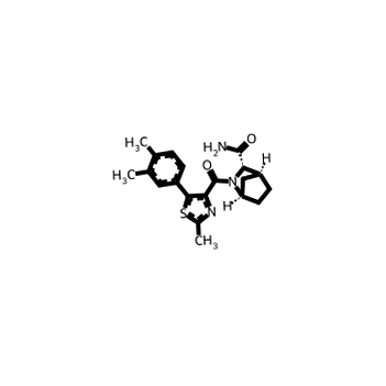 Cc1nc(C(=O)N2[C@@H]3CC[C@@H](C3)[C@H]2C(N)=O)c(-c2ccc(C)c(C)c2)s1